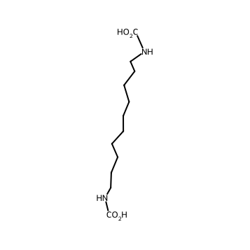 O=C(O)NCCCCCCCCCCNC(=O)O